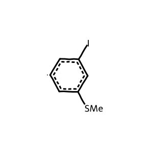 CSc1c[c]cc(I)c1